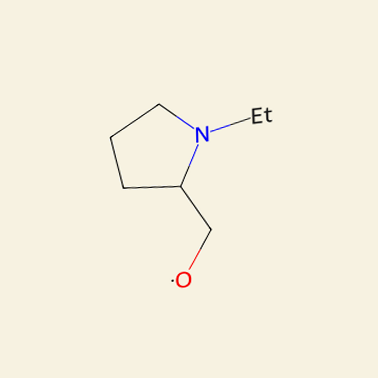 CCN1CCCC1C[O]